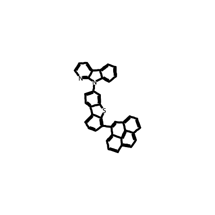 c1cc2ccc3cccc4c(-c5cccc6c5sc5cc(-n7c8ccccc8c8cccnc87)ccc56)cc(c1)c2c34